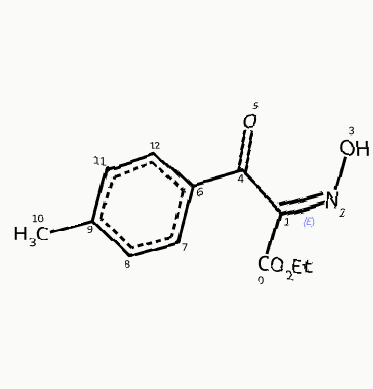 CCOC(=O)/C(=N/O)C(=O)c1ccc(C)cc1